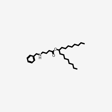 CCCCCCCCC(CCCCCCCC)OC(=O)CCCNCc1ccccc1